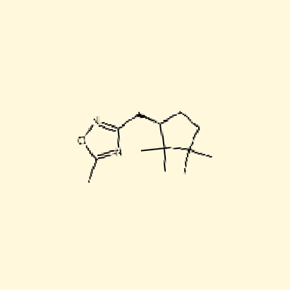 Cc1nc(C[C@H]2CCC(C)(C)C2(C)C)no1